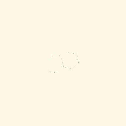 O[C@@H]1CCCC[C@@H]1CI